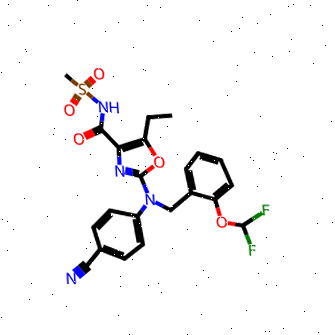 CCc1oc(N(Cc2ccccc2OC(F)F)c2ccc(C#N)cc2)nc1C(=O)NS(C)(=O)=O